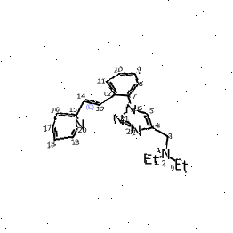 CCN(CC)Cc1cn(-c2c[c]ccc2/C=C/c2ccccn2)nn1